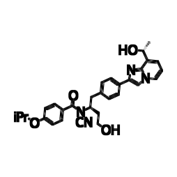 CC(C)Oc1ccc(C(=O)N(C#N)[C@H](CCO)Cc2ccc(-c3cn4cccc([C@@H](C)O)c4n3)cc2)cc1